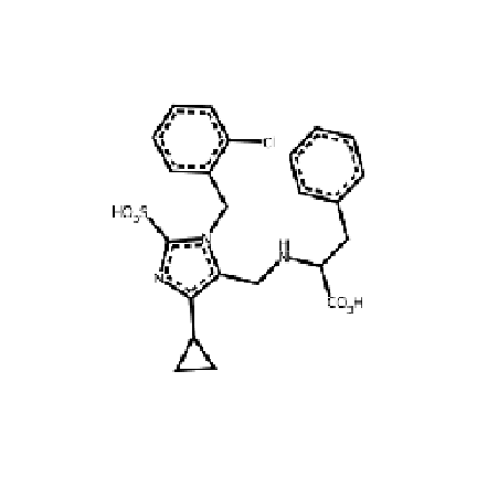 O=C(O)C(Cc1ccccc1)NCc1c(C2CC2)nc(S(=O)(=O)O)n1Cc1ccccc1Cl